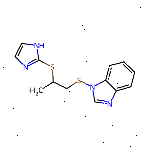 [CH2]C(CSn1cnc2ccccc21)Sc1ncc[nH]1